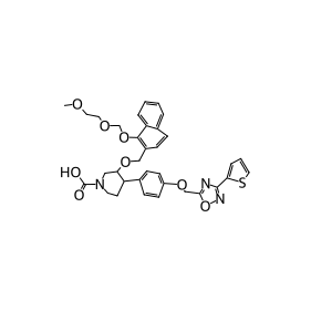 COCCOCOc1c(COC2CN(C(=O)O)CCC2c2ccc(OCc3nc(-c4cccs4)no3)cc2)ccc2ccccc12